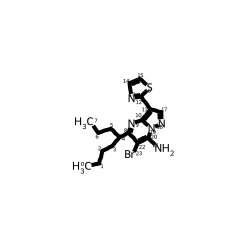 CCCCC(CCC)c1nc2c(-c3nccs3)cnn2c(N)c1Br